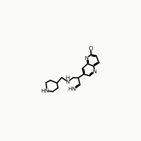 N=CC(CNCC1CCNCC1)c1cnc2ccc(Cl)nc2c1